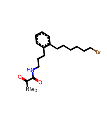 CNC(=O)C(=O)NCCCc1ccccc1CCCCCCBr